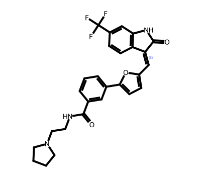 O=C1Nc2cc(C(F)(F)F)ccc2/C1=C\c1ccc(-c2cccc(C(=O)NCCN3CCCC3)c2)o1